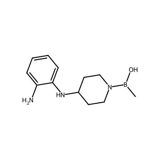 CB(O)N1CCC(Nc2ccccc2N)CC1